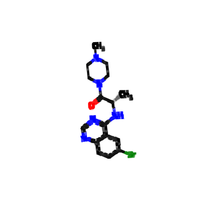 C[C@H](Nc1ncnc2ccc(Br)cc12)C(=O)N1CCN(C)CC1